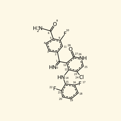 N=C(c1ccc(C(N)=O)c(F)c1)c1c(Nc2c(F)cccc2F)c(Cl)c[nH]c1=O